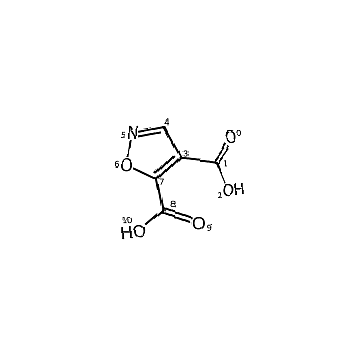 O=C(O)c1cnoc1C(=O)O